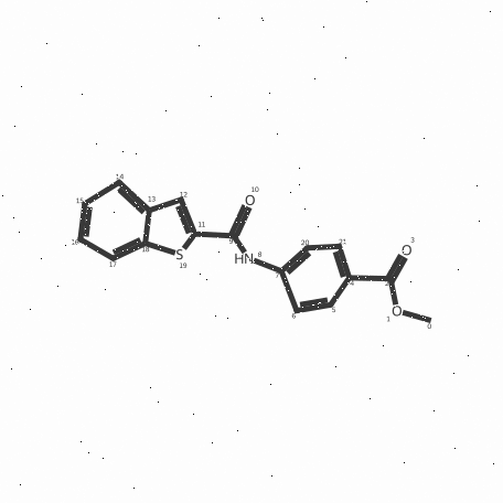 COC(=O)c1ccc(NC(=O)c2cc3ccccc3s2)cc1